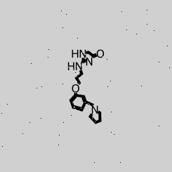 O=C1CNC(NCCCOc2cccc(CN3CCCC3)c2)=N1